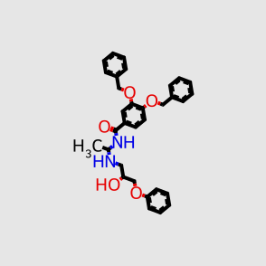 CC(NCC(O)COc1ccccc1)NC(=O)c1ccc(OCc2ccccc2)c(OCc2ccccc2)c1